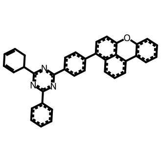 C1=CCC(c2nc(-c3ccccc3)nc(-c3ccc(-c4ccc5c6c(cccc46)-c4ccccc4O5)cc3)n2)C=C1